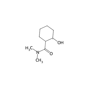 CN(C)C(=O)C1CCCC[C]1O